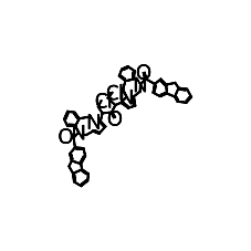 O=C(C(CCl)c1ccc2n1Cc1ccccc1N(C(=O)c1ccc3c(c1)Cc1ccccc1-3)C2)C(CCl)c1ccc2n1Cc1ccccc1N(C(=O)c1ccc3c(c1)Cc1ccccc1-3)C2